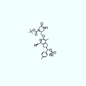 Cc1ccc(C(O[SH](=O)=O)C2Cc3c(C#N)nc(OCC4CNC(=O)CN4C(=O)OC(C)(C)C)c(C)c3C2)cc1